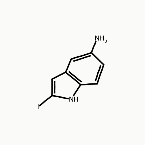 Nc1ccc2[nH]c(I)cc2c1